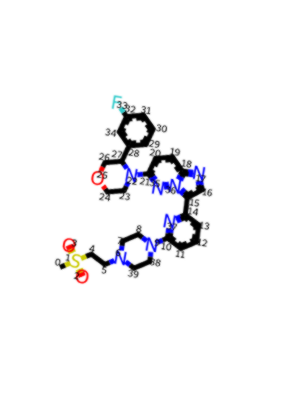 CS(=O)(=O)CCN1CCN(c2cccc(-c3cnc4ccc(N5CCOCC5c5cccc(F)c5)nn34)n2)CC1